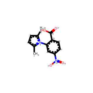 Cc1ccc(C)n1-c1cc([N+](=O)[O-])ccc1C(=O)O